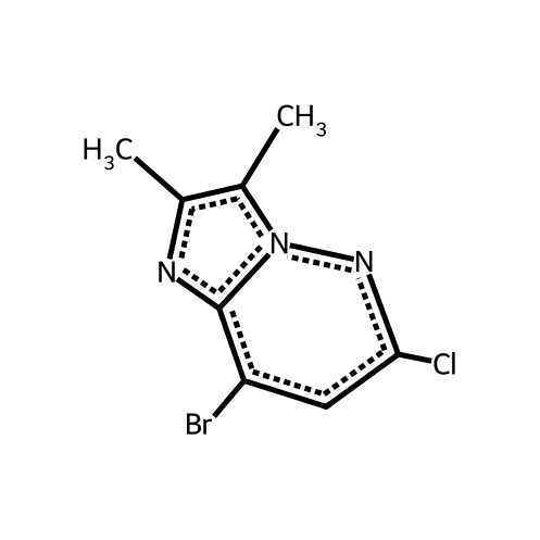 Cc1nc2c(Br)cc(Cl)nn2c1C